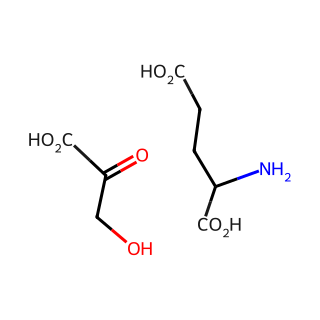 NC(CCC(=O)O)C(=O)O.O=C(O)C(=O)CO